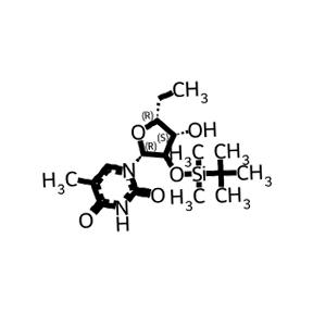 CC[C@H]1O[C@@H](n2cc(C)c(=O)[nH]c2=O)C(O[Si](C)(C)C(C)(C)C)[C@H]1O